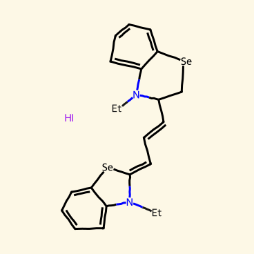 CCN1C(=CC=CC2C[Se]c3ccccc3N2CC)[Se]c2ccccc21.I